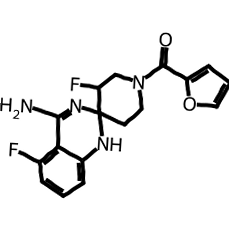 NC1=NC2(CCN(C(=O)c3ccco3)CC2F)Nc2cccc(F)c21